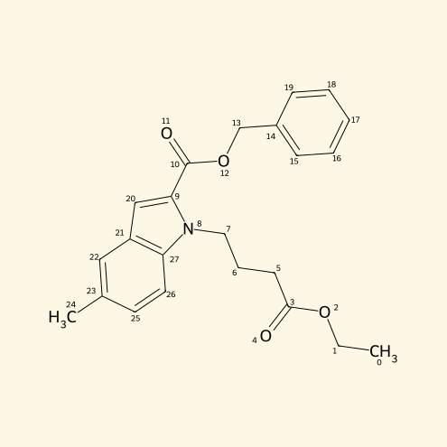 CCOC(=O)CCCn1c(C(=O)OCc2ccccc2)cc2cc(C)ccc21